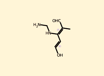 C/C(C=O)=C(\C=C\O)NCN